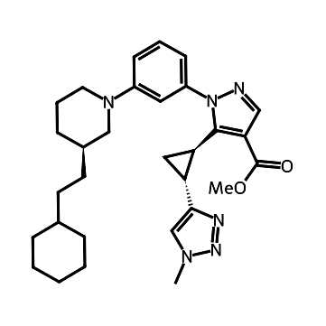 COC(=O)c1cnn(-c2cccc(N3CCC[C@H](CCC4CCCCC4)C3)c2)c1[C@@H]1C[C@H]1c1cn(C)nn1